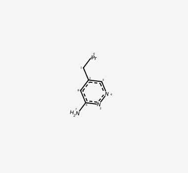 CC(C)Cc1cnnc(N)c1